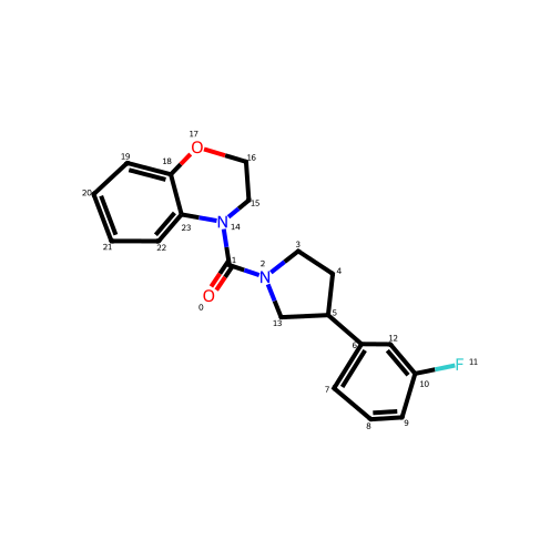 O=C(N1CCC(c2cccc(F)c2)C1)N1CCOc2ccccc21